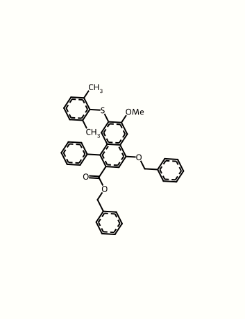 COc1cc2c(OCc3ccccc3)cc(C(=O)OCc3ccccc3)c(-c3ccccc3)c2cc1Sc1c(C)cccc1C